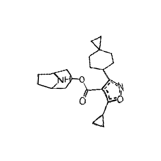 O=C(OC1CC2CCC(C1)N2)c1c(C2CCC3(CC2)CC3)noc1C1CC1